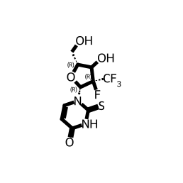 O=c1ccn([C@@H]2O[C@H](CO)C(O)[C@]2(F)C(F)(F)F)c(=S)[nH]1